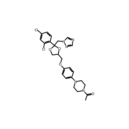 CC(=O)N1CCN(c2ccc(OCC3COC(Cn4cncn4)(c4ccc(Cl)cc4Cl)O3)cc2)CC1